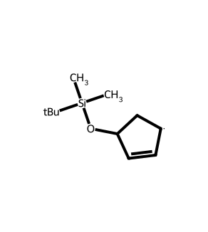 CC(C)(C)[Si](C)(C)OC1C=C[CH]C1